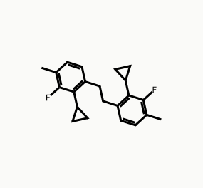 Cc1ccc(CCc2ccc(C)c(F)c2C2CC2)c(C2CC2)c1F